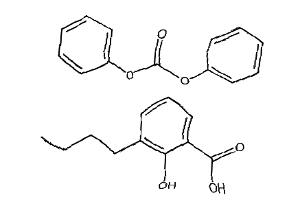 CCCCc1cccc(C(=O)O)c1O.O=C(Oc1ccccc1)Oc1ccccc1